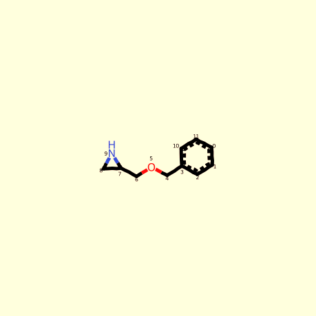 c1ccc(COCC2CN2)cc1